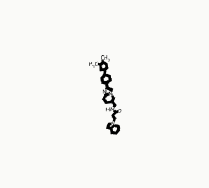 Cc1ccc(-c2ccc(-c3cn4c(n3)CCC(CNC(=O)CCn3ccc5ccccc53)C4)cc2)cc1C